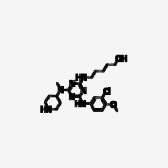 COc1ccc(Nc2nc(NCCCCCO)nc(N(C)C3CCNCC3)n2)cc1Cl